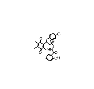 CC1=C(C)C(=O)C(C(Cc2ccc(Cl)cc2)CC(C)(O)CNC(=O)c2ccccc2O)=C(C)C1=O